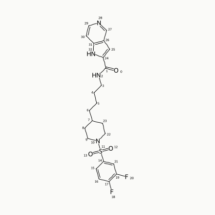 O=C(NCCCCC1CCN(S(=O)(=O)c2ccc(F)c(F)c2)CC1)c1cc2cnccc2[nH]1